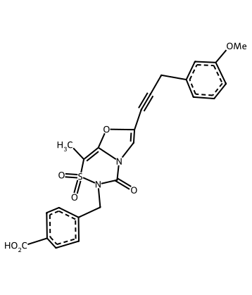 COc1cccc(CC#CC2=CN3C(=O)N(Cc4ccc(C(=O)O)cc4)S(=O)(=O)C(C)=C3O2)c1